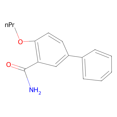 CCCOc1ccc(-c2ccccc2)cc1C(N)=O